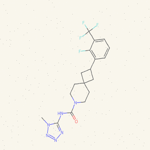 Cn1nnnc1NC(=O)N1CCC2(CC1)CC(c1cccc(C(F)(F)F)c1F)C2